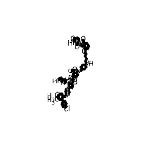 CC1(C)CCC(CN2CCN(c3ccc(C(=O)NS(=O)(=O)c4ccc(NCC5CCC(NCCCCOc6cccc7c6CN(C6CCC(=O)NC6=O)C7=O)CC5)c([N+](=O)[O-])c4)c(Oc4cnc5[nH]ccc5c4)c3)CC2)=C(c2ccc(Cl)cc2)C1